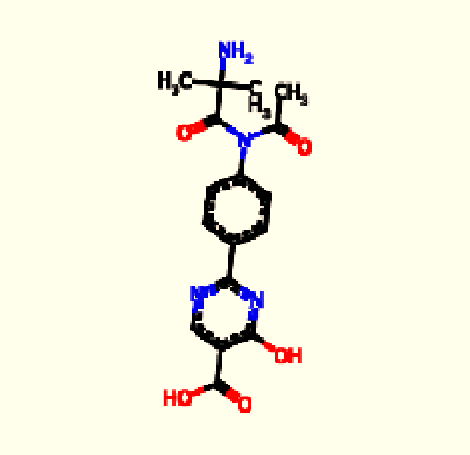 CC(=O)N(C(=O)C(C)(C)N)c1ccc(-c2ncc(C(=O)O)c(O)n2)cc1